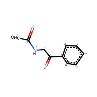 O=CC(=O)NCC(=O)c1ccccc1